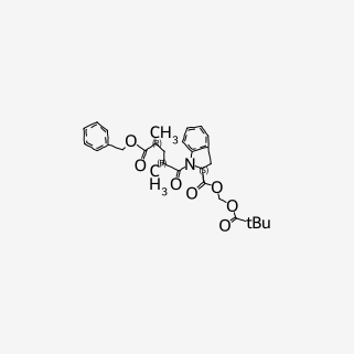 C[C@H](C[C@@H](C)C(=O)N1c2ccccc2C[C@H]1C(=O)OCOC(=O)C(C)(C)C)C(=O)OCc1ccccc1